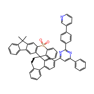 CC1(C)c2ccccc2-c2cc3c(cc21)S(=O)(=O)c1ccccc1C31c2ccccc2-c2ccccc2-c2ccc(-c3cc(-c4ccccc4)nc(-c4ccc(-c5cccnc5)cc4)n3)cc21